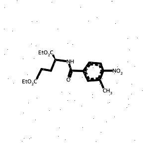 CCOC(=O)CC[C@H](NC(=O)c1ccc([N+](=O)[O-])c(C)c1)C(=O)OCC